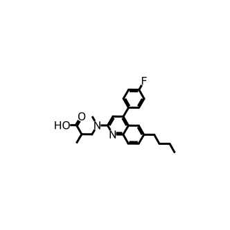 CCCCc1ccc2nc(N(C)CC(C)C(=O)O)cc(-c3ccc(F)cc3)c2c1